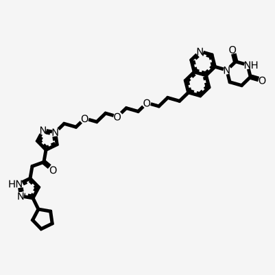 O=C1CCN(c2cncc3cc(CCCOCCOCCOCCn4cc(C(=O)Cc5cc(C6CCCC6)n[nH]5)cn4)ccc23)C(=O)N1